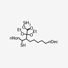 CCCCCCCCCCCCCCCC(C(S)CCCCCCCCC)C(OCC)(OCC)C(=O)O[SiH3]